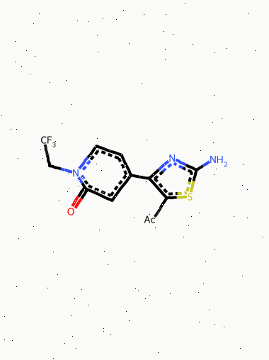 CC(=O)c1sc(N)nc1-c1ccn(CC(F)(F)F)c(=O)c1